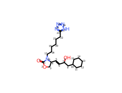 O=C1OCC(C=CC(O)CC2CCCCC2)N1CCCCCCc1nnn[nH]1